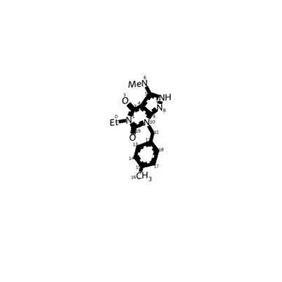 CCn1c(=O)c2c(NC)[nH]nc2n(Cc2ccc(C)cc2)c1=O